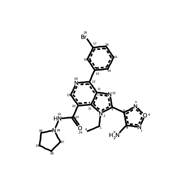 CCn1c(-c2nonc2N)nc2c(-c3cccc(Br)c3)ncc(C(=O)NN3CCCC3)c21